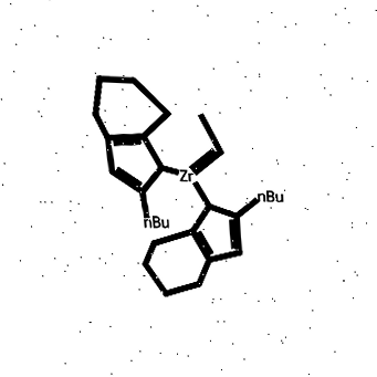 C[CH]=[Zr]([CH]1C(CCCC)=CC2=C1CCCC2)[CH]1C(CCCC)=CC2=C1CCCC2